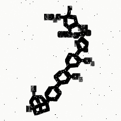 COc1cc(C(=O)O)c(F)cc1NS(=O)(=O)c1csc(-c2ccc(-c3ccc(-c4ccc(C56CC7C[C@@H]8C[C@H](C5)C[C@@]786)cc4)cc3C(F)(F)F)cc2C(F)(F)F)n1